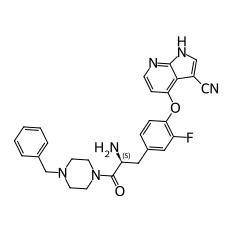 N#Cc1c[nH]c2nccc(Oc3ccc(C[C@H](N)C(=O)N4CCN(Cc5ccccc5)CC4)cc3F)c12